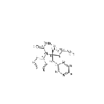 CCCCC(=O)N(c1ccccc1)[C@](CCN)(Cc1ccccc1)C(=O)O